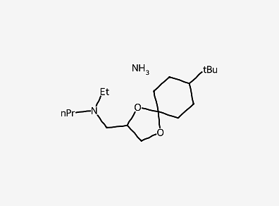 CCCN(CC)CC1COC2(CCC(C(C)(C)C)CC2)O1.N